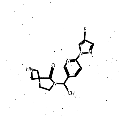 CC(c1ccc(-n2cc(F)cn2)nc1)N1CCC2(CNC2)C1=O